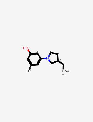 CCc1cc(O)cc(N2CCC(COC)C2)c1